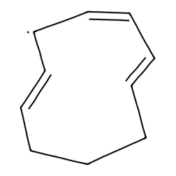 [CH]1/C=C\C=C\CCC/C=C/1